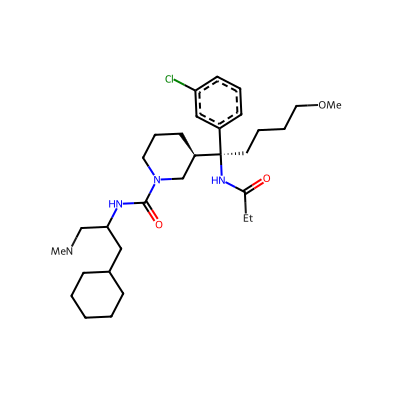 CCC(=O)N[C@](CCCCOC)(c1cccc(Cl)c1)[C@@H]1CCCN(C(=O)NC(CNC)CC2CCCCC2)C1